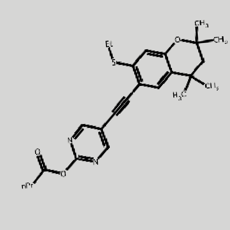 CCCC(=O)Oc1ncc(C#Cc2cc3c(cc2SCC)OC(C)(C)CC3(C)C)cn1